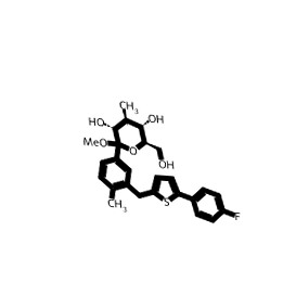 COC1(c2ccc(C)c(Cc3ccc(-c4ccc(F)cc4)s3)c2)O[C@H](CO)[C@@H](O)[C@H](C)[C@H]1O